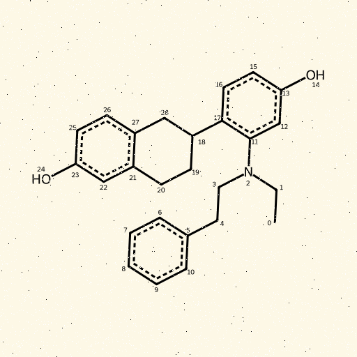 CCN(CCc1ccccc1)c1cc(O)ccc1C1CCc2cc(O)ccc2C1